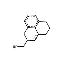 CC12CCCc3cccc(c31)CC(CBr)C2